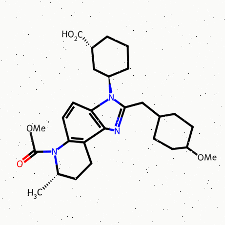 COC(=O)N1c2ccc3c(nc(CC4CCC(OC)CC4)n3[C@@H]3CCC[C@@H](C(=O)O)C3)c2CC[C@@H]1C